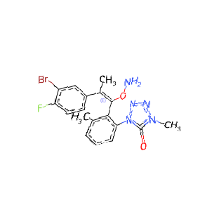 C/C(=C(\ON)c1c(C)cccc1-n1nnn(C)c1=O)c1ccc(F)c(Br)c1